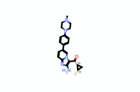 CN1CCN(c2ccc(-c3ccc4nc(N)c(C(=O)[C@@H]5C[C@@H]5F)n4c3)cc2)CC1